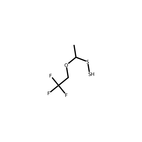 CC(OCC(F)(F)F)SS